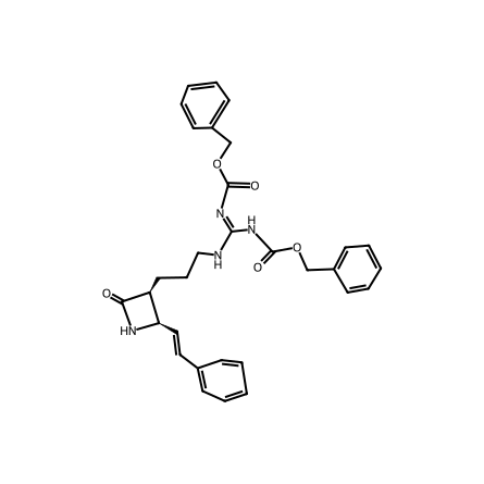 O=C(N=C(NCCC[C@@H]1C(=O)N[C@@H]1C=Cc1ccccc1)NC(=O)OCc1ccccc1)OCc1ccccc1